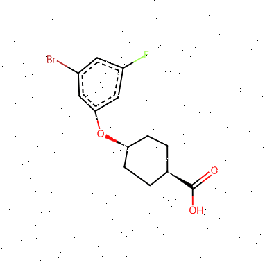 O=C(O)[C@H]1CC[C@@H](Oc2cc(F)cc(Br)c2)CC1